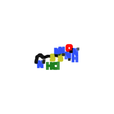 CNC(=O)N(C)c1nnc(SCc2cccnc2)s1.Cl